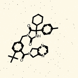 Cc1ccc(C2(C3CCCCC3)NC(=O)N(Cc3ccc(C(C)(C)C)c(C(=O)N4Cc5nccnc5C4)c3)C2=O)cc1